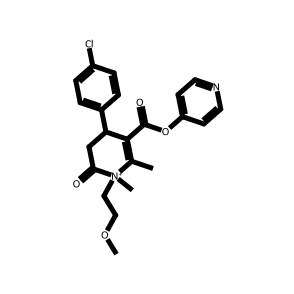 COCC[N+]1(C)C(=O)CC(c2ccc(Cl)cc2)C(C(=O)Oc2ccncc2)=C1C